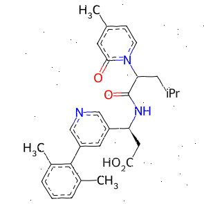 Cc1ccn(C(CC(C)C)C(=O)N[C@@H](CC(=O)O)c2cncc(-c3c(C)cccc3C)c2)c(=O)c1